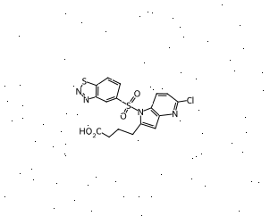 O=C(O)CCCc1cc2nc(Cl)ccc2n1S(=O)(=O)c1ccc2snnc2c1